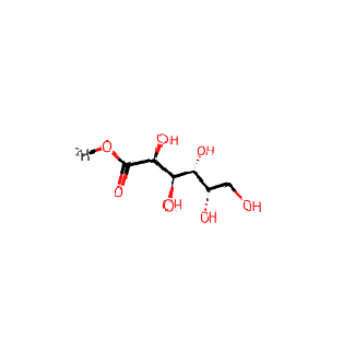 [2H]OC(=O)[C@@H](O)[C@H](O)[C@H](O)[C@@H](O)CO